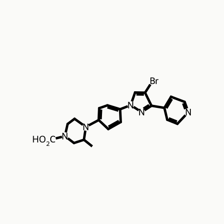 CC1CN(C(=O)O)CCN1c1ccc(-n2cc(Br)c(-c3ccncc3)n2)cc1